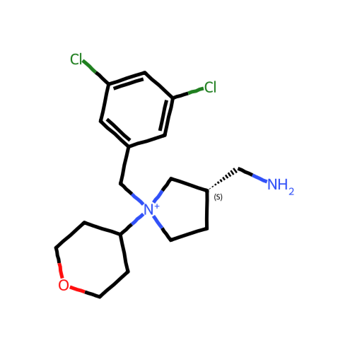 NC[C@@H]1CC[N+](Cc2cc(Cl)cc(Cl)c2)(C2CCOCC2)C1